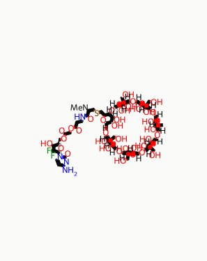 CN[C@H](CSCC1O[C@H]2O[C@@H]3C(CO)O[C@H](O[C@@H]4C(CO)O[C@H](O[C@@H]5C(CO)O[C@@H](O[C@H]6C(C)O[C@H](O[C@@H]7C(CO)O[C@@H](O[C@@H]8C(CO)O[C@@H](O[C@H]1[C@H](O)C2O)C(O)[C@H]8O)C(O)[C@H]7O)C(O)[C@H]6O)C(O)[C@H]5O)C(O)[C@H]4O)C(O)[C@H]3O)C(=O)NCCC(=O)OCC(=O)OC[C@H]1O[C@@H](n2ccc(N)nc2=O)C(F)(F)[C@@H]1O